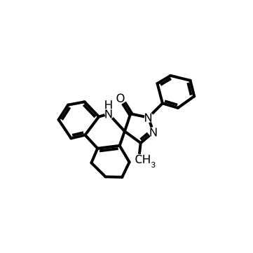 CC1=NN(c2ccccc2)C(=O)C12Nc1ccccc1C1=C2CCCC1